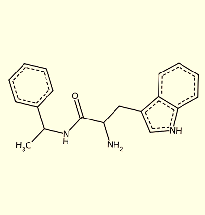 CC(NC(=O)C(N)Cc1c[nH]c2ccccc12)c1ccccc1